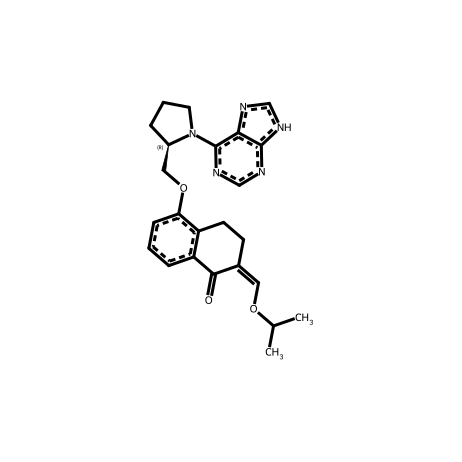 CC(C)OC=C1CCc2c(OC[C@H]3CCCN3c3ncnc4[nH]cnc34)cccc2C1=O